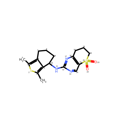 Cc1sc(C)c2c1CCCC2Nc1ncc2c(n1)CCCS2(=O)=O